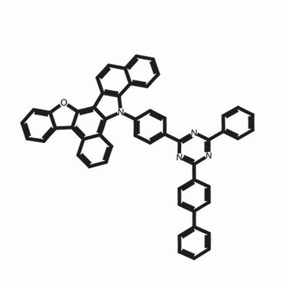 c1ccc(-c2ccc(-c3nc(-c4ccccc4)nc(-c4ccc(-n5c6c7ccccc7ccc6c6c7oc8ccccc8c7c7ccccc7c65)cc4)n3)cc2)cc1